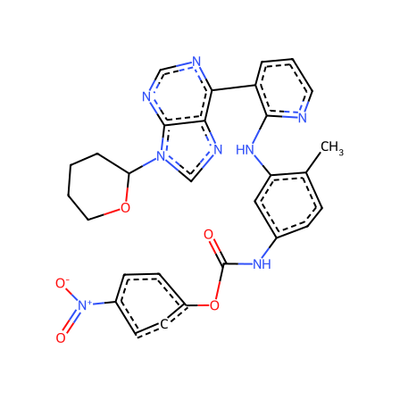 Cc1ccc(NC(=O)Oc2ccc([N+](=O)[O-])cc2)cc1Nc1ncccc1-c1ncnc2c1ncn2C1CCCCO1